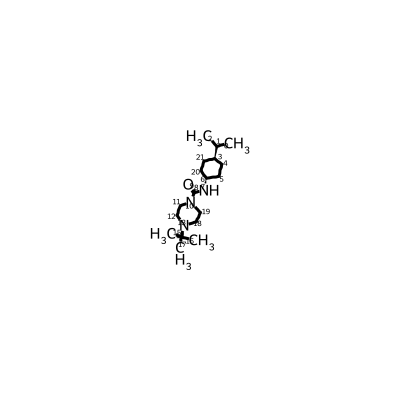 CC(C)[C@H]1CC[C@H](NC(=O)N2CCN(C(C)(C)C)CC2)CC1